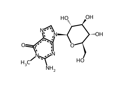 Cn1c(N)nc2c(ncn2[C@@H]2O[C@H](CO)[C@@H](O)[C@H](O)[C@H]2O)c1=O